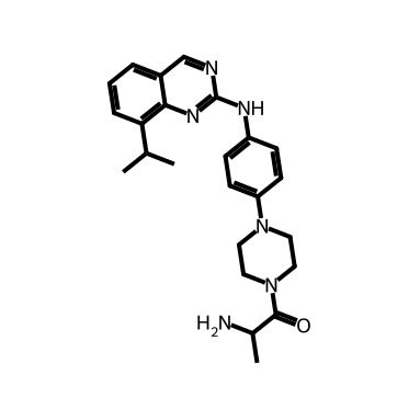 CC(N)C(=O)N1CCN(c2ccc(Nc3ncc4cccc(C(C)C)c4n3)cc2)CC1